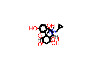 C[N@+]1(CC2CC2)C(O)C[C@]23c4c5ccc(O)c4O[C@H]2C(=O)CC(O)[C@@]3(O)[C@H]1C5